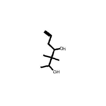 C=CCC(O)C(C)(C)C(C)O